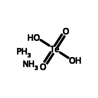 N.O=[Te](=O)(O)O.P